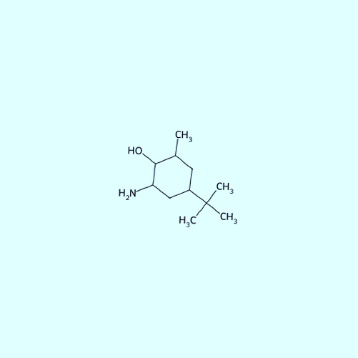 CC1CC(C(C)(C)C)CC(N)C1O